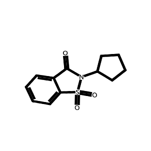 O=C1c2ccccc2S(=O)(=O)N1C1CCCC1